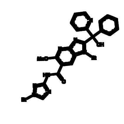 CCn1cnc(NC(=O)c2cc3c(nc2OC)nc(C(O)(c2ccccc2)c2ccccn2)n3CC)n1